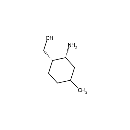 CC1CC[C@H](CO)[C@H](N)C1